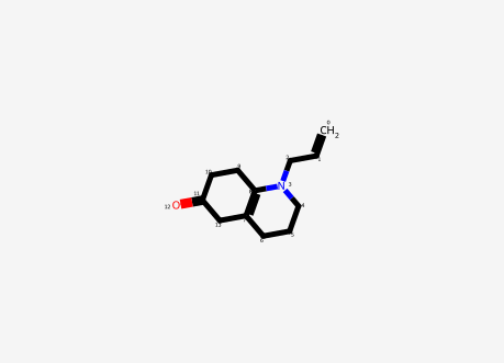 C=CCN1CCCC2=C1CCC(=O)C2